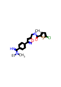 CCN(C)C(=N)c1ccc(-c2cc(CN(C)C(=O)c3ccc(Cl)s3)on2)cc1